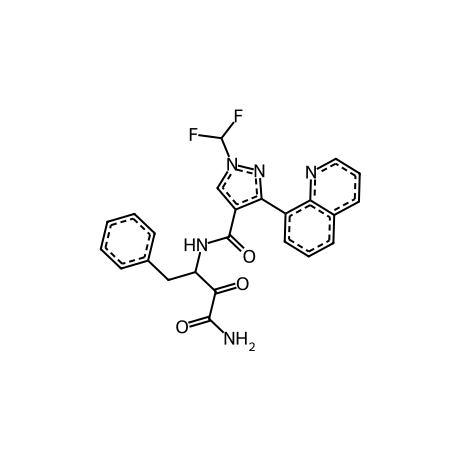 NC(=O)C(=O)C(Cc1ccccc1)NC(=O)c1cn(C(F)F)nc1-c1cccc2cccnc12